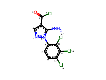 Nc1c(C(=O)Cl)cnn1-c1ccc(Cl)c(Cl)c1Cl